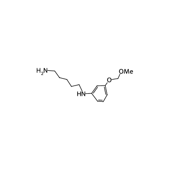 COCOc1cccc(NCCCCCN)c1